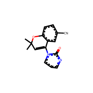 CC1(C)C=C(n2cccnc2=O)c2cc(C#N)ccc2O1